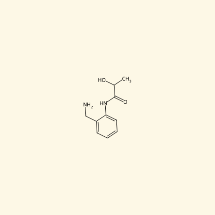 CC(O)C(=O)Nc1ccccc1CN